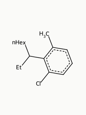 CCCCCCC(CC)c1c(C)cccc1Cl